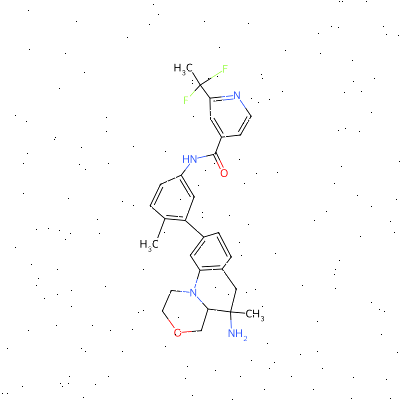 Cc1ccc(NC(=O)c2ccnc(C(C)(F)F)c2)cc1-c1ccc2c(c1)N1CCOCC1C(C)(N)C2